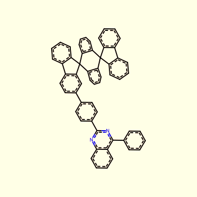 c1ccc(-c2nc(-c3ccc(-c4ccc5c(c4)C4(c6ccccc6-5)c5ccccc5C5(c6ccccc6-c6ccccc65)c5ccccc54)cc3)nc3ccccc23)cc1